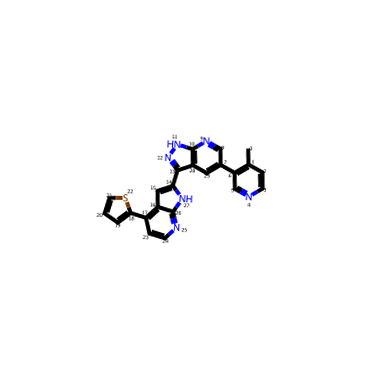 Cc1ccncc1-c1cnc2[nH]nc(-c3cc4c(-c5cccs5)ccnc4[nH]3)c2c1